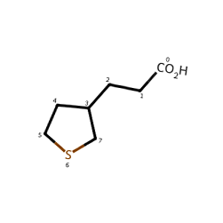 O=C(O)CCC1CCSC1